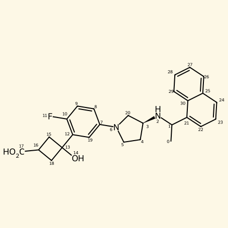 CC(N[C@H]1CCN(c2ccc(F)c(C3(O)CC(C(=O)O)C3)c2)C1)c1cccc2ccccc12